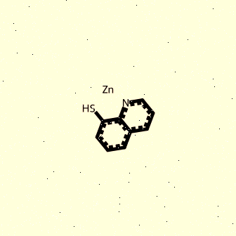 Sc1cccc2cccnc12.[Zn]